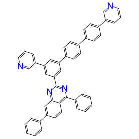 c1ccc(-c2ccc3c(-c4ccccc4)nc(-c4cc(-c5ccc(-c6ccc(-c7cccnc7)cc6)cc5)cc(-c5cccnc5)c4)nc3c2)cc1